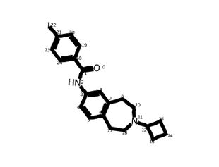 O=C(Nc1ccc2c(c1)CCN(C1CCC1)CC2)c1ccc(I)cc1